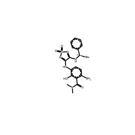 Bc1ccc(NC2=NS(=O)(=O)N=C2N[C@@H](c2ccccc2)C(C)(C)C)c(O)c1C(=O)N(C)C